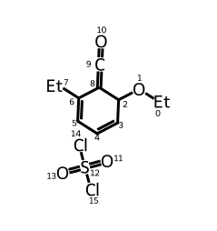 CCOC1C=CC=C(CC)C1=C=O.O=S(=O)(Cl)Cl